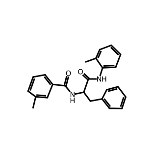 Cc1cccc(C(=O)NC(Cc2ccccc2)C(=O)Nc2ccccc2C)c1